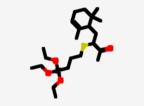 CCO[Si](CCCSC(CC1C(C)=CCCC1(C)C)C(C)=O)(OCC)OCC